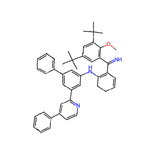 COc1c(C(=N)C2=C(Nc3cc(-c4ccccc4)cc(-c4cc(-c5ccccc5)ccn4)c3)CCC=C2)cc(C(C)(C)C)cc1C(C)(C)C